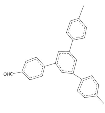 Cc1ccc(-c2cc(-c3ccc(C)cc3)cc(-c3ccc(C=O)cc3)c2)cc1